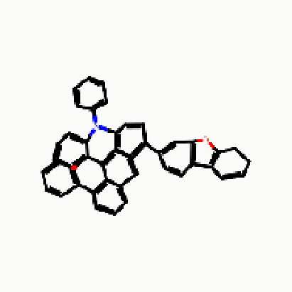 C1=Cc2c(oc3cc(-c4ccc(N(c5ccccc5)c5ccccc5-c5cccc6cccc(-c7ccccc7)c56)cc4)ccc23)CC1